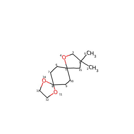 CC1(C)COC2(CCC3(CC2)OCCO3)C1